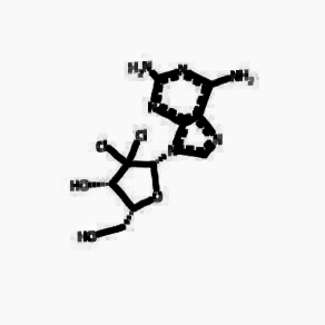 Nc1nc(N)c2ncn([C@@H]3O[C@H](CO)[C@H](O)C3(Cl)Cl)c2n1